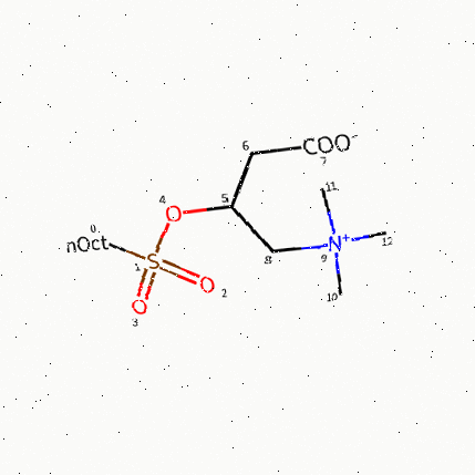 CCCCCCCCS(=O)(=O)OC(CC(=O)[O-])C[N+](C)(C)C